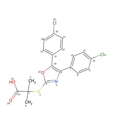 CC(C)(Sc1nc(-c2ccc(Cl)cc2)c(-c2ccc(Cl)cc2)o1)C(=O)O